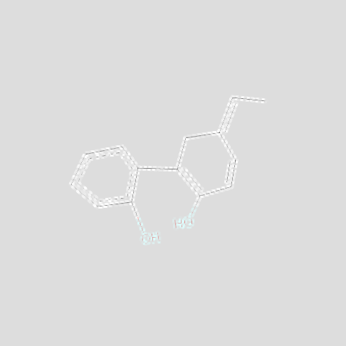 CC=C1C=CC(O)=C(c2ccccc2O)C1